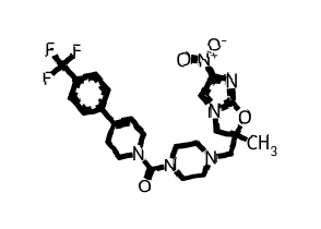 CC1(CN2CCN(C(=O)N3CC=C(c4ccc(C(F)(F)F)cc4)CC3)CC2)Cn2cc([N+](=O)[O-])nc2O1